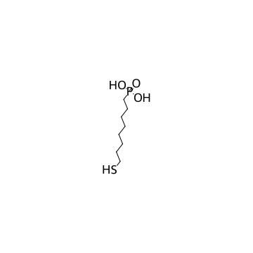 O=P(O)(O)CCCCCCCCS